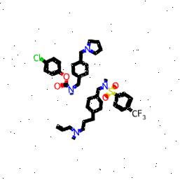 C=CCN(C)CCCC1CCC(CN(C)S(=O)(=O)c2ccc(C(F)(F)F)cc2)CC1.CN(CC1CCC(CN2CCCC2)CC1)C(=O)Oc1ccc(Cl)cc1